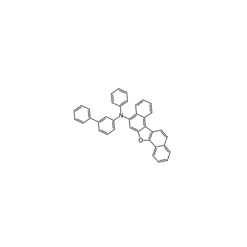 c1ccc(-c2cccc(N(c3ccccc3)c3cc4oc5c6ccccc6ccc5c4c4ccccc34)c2)cc1